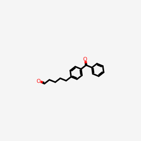 O=CCCCCc1ccc(C(=O)c2ccccc2)cc1